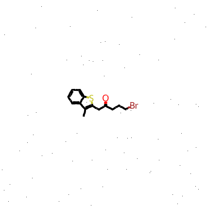 Cc1c(CC(=O)CCCBr)sc2ccccc12